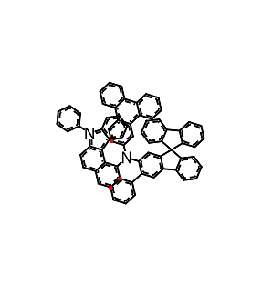 c1ccc(-c2cc3c(cc2N(c2ccc4c5ccccc5c5ccccc5c4c2)c2cccc4ccc5c(c6ccccc6n5-c5ccccc5)c24)C2(c4ccccc4-c4ccccc42)c2ccccc2-3)cc1